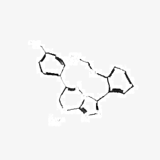 Br.CCOc1ccccc1-c1nnc2n1N=C(c1ccc(C)cc1)CS2